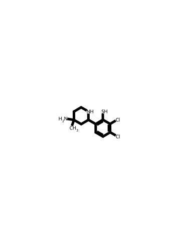 CC1(N)CCNC(c2ccc(Cl)c(Cl)c2S)C1